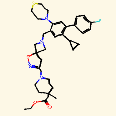 CCOC(=O)C1(C)CCN(C2=NOC3(C2)CN(Cc2cc(C4CC4)c(-c4ccc(F)cc4)cc2N2CCSCC2)C3)CC1